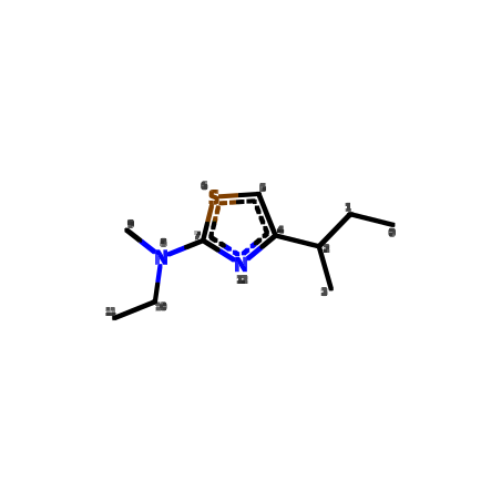 CCC(C)c1csc(N(C)CC)n1